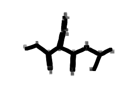 CCC(=O)C(=[N+]=[N-])C(=O)OC(C)C